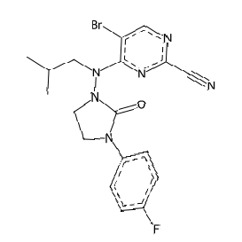 CC(C)CN(c1nc(C#N)ncc1Br)N1CCN(c2ccc(F)cc2)C1=O